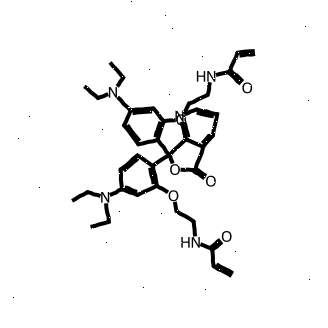 C=CC(=O)NCCOc1cc(N(CC)CC)ccc1C1(c2ccc(N(CC)CC)cc2OCCNC(=O)C=C)OC(=O)c2cccnc21